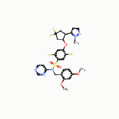 COc1ccc(CN(c2ccncn2)S(=O)(=O)c2cc(F)c(OC3CC(F)(F)CC3c3ccnn3C)cc2F)c(OC)c1